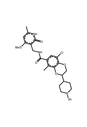 CSc1cc(C)[nH]c(=O)c1CNC(=O)c1cc(Cl)c2c(c1C)OC(C1CCN(C(C)C)CC1)CO2